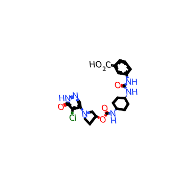 O=C(Nc1cccc(C(=O)O)c1)N[C@H]1CC[C@H](NC(=O)OC2CCN(c3cn[nH]c(=O)c3Cl)C2)CC1